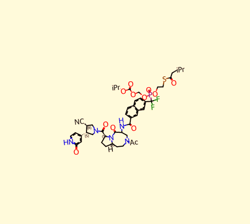 CC(=O)N1CC[C@H]2CC[C@@H](C(=O)N3C[C@H](c4cc[nH]c(=O)c4)[C@@H](C#N)C3)N2C(=O)C(NC(=O)c2ccc3ccc(C(F)(F)P(=O)(OCCSC(=O)CC(C)C)OCOC(=O)OC(C)C)cc3c2)C1